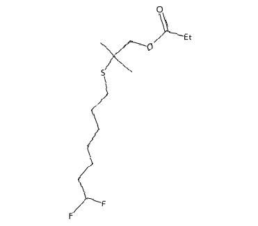 CCC(=O)OCC(C)(C)SCCCCCCC(F)F